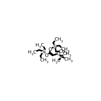 CC[Si](CC)(CC)OC(=CO[Si](C)(C)C)O[Si](CC)(CC)CC